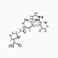 O=C(O)c1cccc(COc2ccc(-c3ccnn3C3CCCCO3)nc2)n1